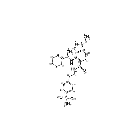 CCn1ncc2c(NC(C)C3CCCCC3)c(C(=O)NCCc3ccc(S(N)(=O)=O)cc3)cnc21